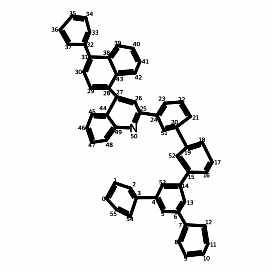 c1ccc(-c2cc(-c3ccccc3)cc(-c3cccc(-c4cccc(-c5cc(-c6ccc(-c7ccccc7)c7ccccc67)c6ccccc6n5)c4)c3)c2)cc1